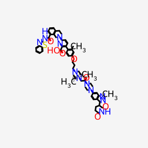 Cc1cc(OCCCN2C[C@@H](C)N(CC(=O)N3CCN(c4ccc5c(C6CCC(=O)NC6=O)nn(C)c5c4)CC3)[C@@H](C)C2)ccc1-c1ccc(N2CCc3cccc(C(=O)Nc4nc5ccccc5s4)c3C2)nc1C(=O)O